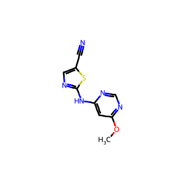 COc1cc(Nc2ncc(C#N)s2)ncn1